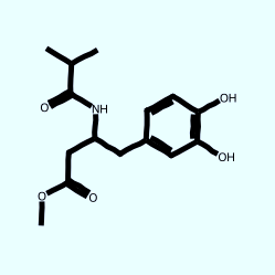 COC(=O)CC(Cc1ccc(O)c(O)c1)NC(=O)C(C)C